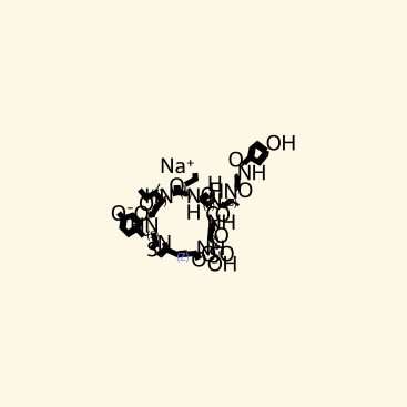 CCC[C@@H]1NC(=O)[C@@H](NC(=O)[C@H](C)NC(=O)CNC(=O)c2ccc(O)cc2)CNC(=O)[C@H](CS(=O)(=O)O)NC(=O)/C=C\c2csc(n2)[C@H](Cc2ccc([O-])cc2)NC(=O)C(=O)[C@H]([C@@H](C)CC)NC1=O.[Na+]